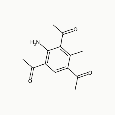 CC(=O)c1cc(C(C)=O)c(N)c(C(C)=O)c1C